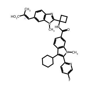 C/C(=C\c1ccc2nc(C3(NC(=O)c4ccc5c(C6CCCCC6)c(-c6ccc(F)cn6)n(C)c5c4)CCC3)n(C)c2c1)C(=O)O